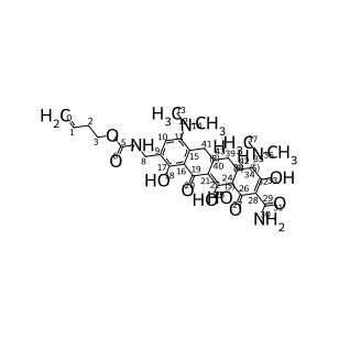 C=CCCOC(=O)NCc1cc(N(C)C)c2c(c1O)C(=O)C1=C(O)[C@]3(O)C(=O)C(C(N)=O)=C(O)[C@@H](N(C)C)[C@@H]3C[C@@H]1C2